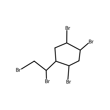 BrCC(Br)C1CC(Br)C(Br)CC1Br